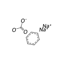 O=C([O-])[O-].[Na+].[Na+].c1ccccc1